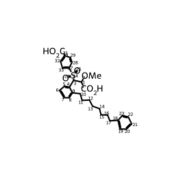 COC(C(=O)O)C(c1ccccc1CCCCCCCCc1ccccc1)S(=O)(=O)c1ccc(C(=O)O)cc1